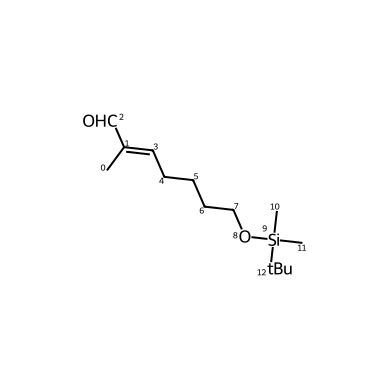 CC(C=O)=CCCCCO[Si](C)(C)C(C)(C)C